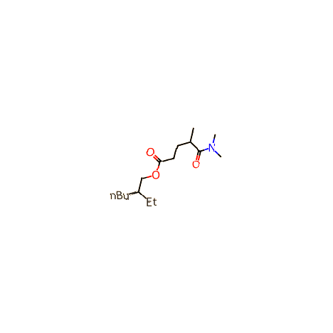 CCCCC(CC)COC(=O)CCC(C)C(=O)N(C)C